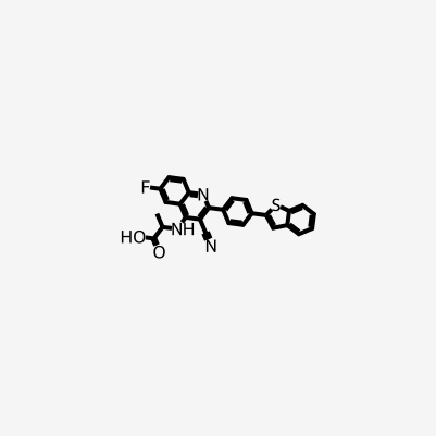 CC(Nc1c(C#N)c(-c2ccc(-c3cc4ccccc4s3)cc2)nc2ccc(F)cc12)C(=O)O